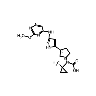 COc1nncc(Nc2cc([C@H]3CC[C@@H](N(C(=O)O)C4(C)CC4)C3)[nH]n2)n1